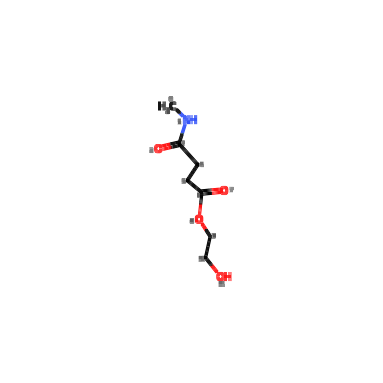 CNC(=O)CCC(=O)OCCO